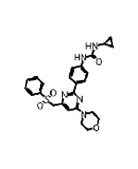 O=C(Nc1ccc(-c2nc(CS(=O)(=O)c3ccccc3)cc(N3CCOCC3)n2)cc1)NC1CC1